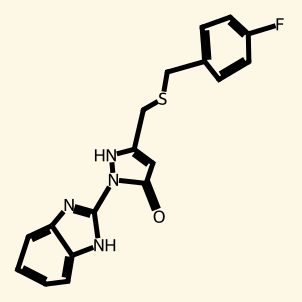 O=c1cc(CSCc2ccc(F)cc2)[nH]n1-c1nc2ccccc2[nH]1